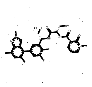 Cc1cc(C)c2nn(C)cc2c1-c1cc(F)c(F)c([C@H](CC(=O)O)NC(=O)[C@H](CC(C)C)NC(=O)c2cccn(C)c2=O)c1